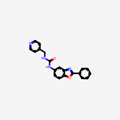 O=C(NCc1ccncc1)Nc1ccc2oc(-c3ccccc3)nc2c1